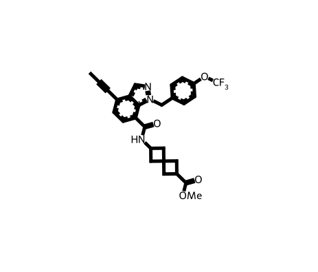 CC#Cc1ccc(C(=O)NC2CC3(C2)CC(C(=O)OC)C3)c2c1cnn2Cc1ccc(OC(F)(F)F)cc1